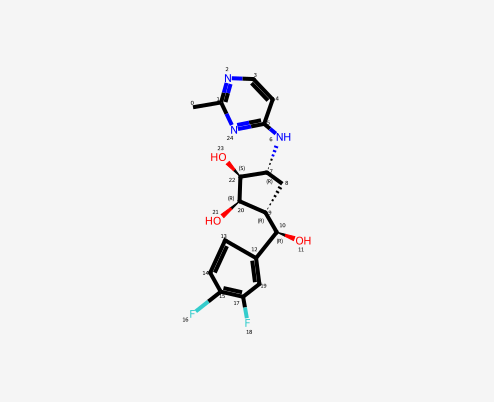 Cc1nccc(N[C@@H]2C[C@H]([C@@H](O)c3ccc(F)c(F)c3)[C@@H](O)[C@H]2O)n1